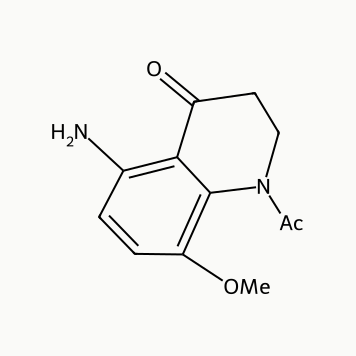 COc1ccc(N)c2c1N(C(C)=O)CCC2=O